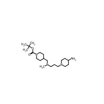 CN(CCCN1CCC(N)CC1)CC1CCN(C(=O)OC(C)(C)C)CC1